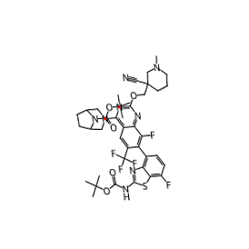 CN1CCCC(C#N)(COc2nc(N3CC4CCC(C3)N4C(=O)OC(C)(C)C)c3cc(C(F)(F)F)c(-c4ccc(F)c5sc(NC(=O)OC(C)(C)C)nc45)c(F)c3n2)C1